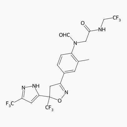 Cc1cc(C2=NOC(c3cc(C(F)(F)F)n[nH]3)(C(F)(F)F)C2)ccc1N(C=O)CC(=O)NCC(F)(F)F